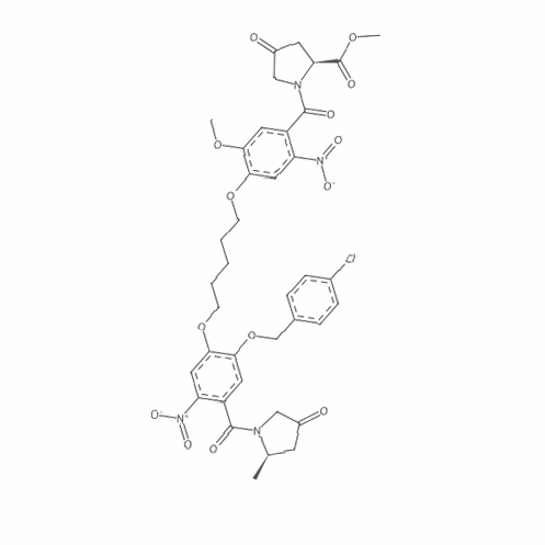 COC(=O)[C@@H]1CC(=O)CN1C(=O)c1cc(OC)c(OCCCCCOc2cc([N+](=O)[O-])c(C(=O)N3CC(=O)C[C@H]3C)cc2OCc2ccc(Cl)cc2)cc1[N+](=O)[O-]